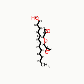 C(OCC1CO1)C1CO1.CCCCCCCCCCCCCO